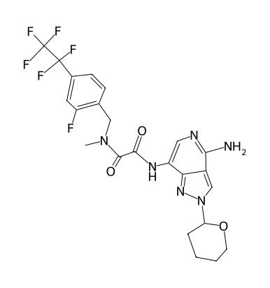 CN(Cc1ccc(C(F)(F)C(F)(F)F)cc1F)C(=O)C(=O)Nc1cnc(N)c2cn(C3CCCCO3)nc12